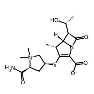 C[C@@H](O)[C@H]1C(=O)N2C(C(=O)[O-])=C(S[C@H]3C[C@@H](C(N)=O)[N+](C)(C)C3)[C@H](C)[C@H]12